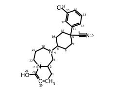 CCC1CN(C2CCC(C#N)(c3cccc(Cl)c3)CC2)CCCN1C(=O)O